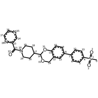 CS(=O)(=O)c1ccc(-c2ccc3c(c2)COC(C2CCN(C(=O)c4cnccn4)CC2)O3)cc1